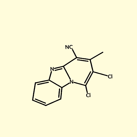 Cc1c(Cl)c(Cl)n2c(nc3ccccc32)c1C#N